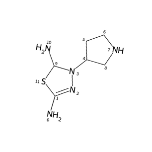 NC1=NN(C2CCNC2)C(N)S1